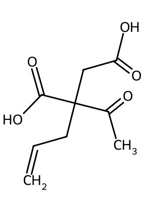 C=CCC(CC(=O)O)(C(C)=O)C(=O)O